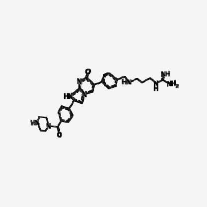 N=C(N)NCCCNCc1ccc(-c2cn3cc(-c4ccc(C(=O)N5CCNCC5)cc4)[nH]c3nc2=O)cc1